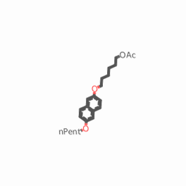 CCCCCOc1ccc2cc(OCCCCCCOC(C)=O)ccc2c1